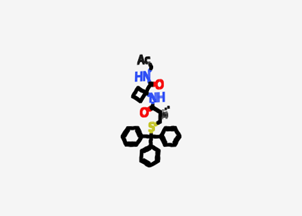 CC(=O)CNC(=O)C1(NC(=O)[C@H](C)CSC(c2ccccc2)(c2ccccc2)c2ccccc2)CCC1